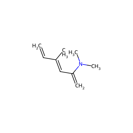 C=C/C(C)=C/C(=C)N(C)C